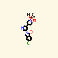 CCS(=O)(=O)N1CCC(c2cncc(N3Cc4cc(Cl)ccc4C3=O)c2)CC1